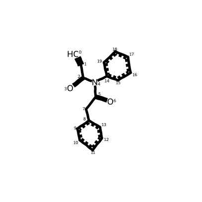 C#CC(=O)N(C(=O)Cc1ccccc1)c1ccccc1